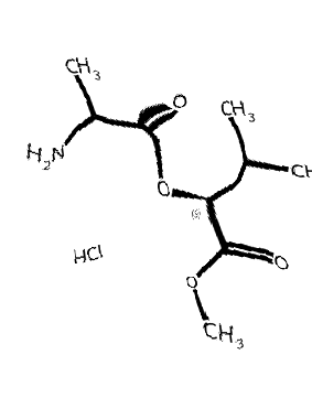 COC(=O)[C@@H](OC(=O)C(C)N)C(C)C.Cl